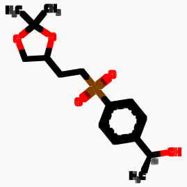 C[C@H](O)c1ccc(S(=O)(=O)CCC2COC(C)(C)O2)cc1